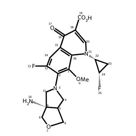 COc1c(N2CC3COC[C@@]3(N)C2)c(F)cc2c(=O)c(C(=O)O)cn([C@@H]3C[C@@H]3F)c12